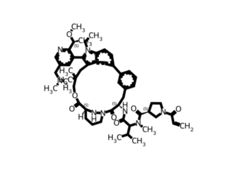 C=CC(=O)N1CC[C@H](C(=O)N(C)C(C(=O)N[C@H]2Cc3cccc(c3)-c3ccc4c(c3)c(c(-c3cc(CN(C)C)cnc3[C@H](C)OC)n4CC)CC(C)(C)COC(=O)[C@@H]3CCCN(N3)C2=O)C(C)C)C1